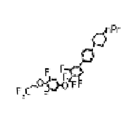 CCCC1CCC(c2ccc(-c3cc(F)c(C(F)(F)Oc4cc(F)c(OC=CC(F)(F)F)c(F)c4)c(F)c3)cc2)CC1